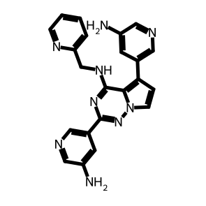 Nc1cncc(-c2nc(NCc3ccccn3)c3c(-c4cncc(N)c4)ccn3n2)c1